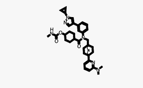 CNC(=O)OC1CCC(C(=O)N(CC23CCC(c4cccc(N(C)C)n4)(CC2)CC3)c2cccc(-c3cnn(C4CC4)c3)c2)CC1